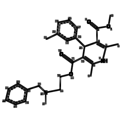 COC(=O)C1=C(C)NC(C)=C(C(=O)OCCN(C)Cc2ccccc2)C1c1cccc(C)c1